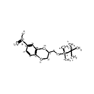 CC(C)(C)[Si](C)(C)OCC1COc2ccc([N+](=O)[O-])cc2O1